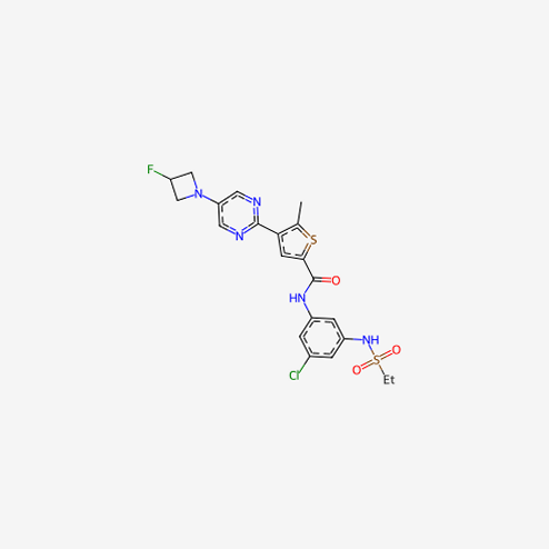 CCS(=O)(=O)Nc1cc(Cl)cc(NC(=O)c2cc(-c3ncc(N4CC(F)C4)cn3)c(C)s2)c1